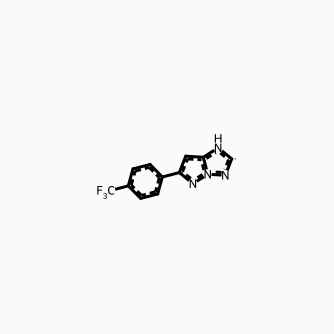 FC(F)(F)c1ccc(-c2cc3[nH][c]nn3n2)cc1